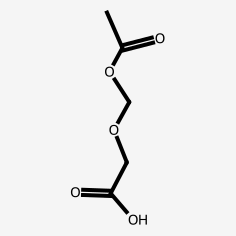 CC(=O)OCOCC(=O)O